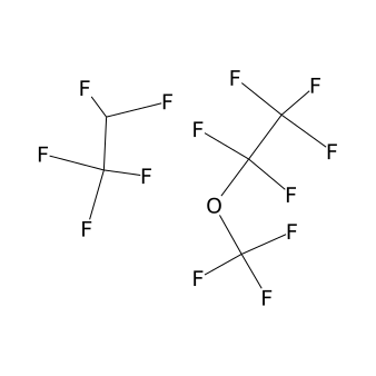 FC(F)(F)OC(F)(F)C(F)(F)F.FC(F)C(F)(F)F